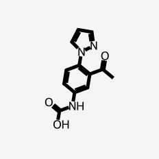 CC(=O)c1cc(NC(=O)O)ccc1-n1cccn1